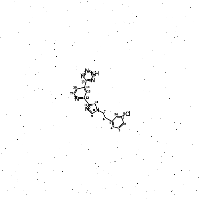 Clc1cccc(CCn2cnc(-c3cc(-c4nn[nH]n4)ccn3)c2)c1